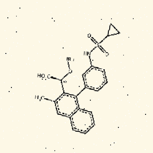 Cc1cc2ccccc2c(-c2cccc(NS(=O)(=O)C3CC3)c2)c1[C@H](OC(C)(C)C)C(=O)O